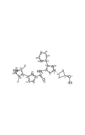 CCO[C@H]1C[C@H](n2cc(NC(=O)c3csc(-c4c(C)n[nH]c4C)n3)c(-c3ccccn3)n2)C1